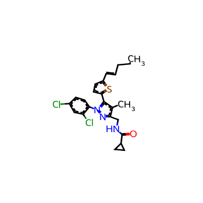 CCCC=Cc1ccc(-c2c(C)c(CNC(=O)C3CC3)nn2-c2ccc(Cl)cc2Cl)s1